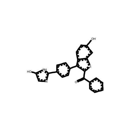 O=C(c1ccccc1)c1sc2cc(O)ccc2c1-c1ccc(-c2ncc(O)[nH]2)cc1